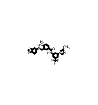 Cc1cn(-c2cc(NC(=O)c3ccc(C)c(CNc4ccc5ncsc5c4)c3)cc(C(F)(F)F)c2)cn1